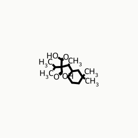 CC(C)C(C(=O)O)(C(=O)O)C(C)C1CCCC(C)(C)C1